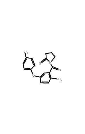 O=C1CCCN1C(=O)c1cc(Oc2ccc(C(F)(F)F)cc2)ccc1[N+](=O)[O-]